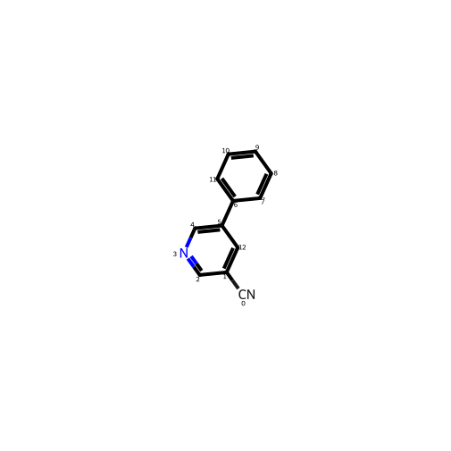 N#Cc1cncc(-c2[c]cccc2)c1